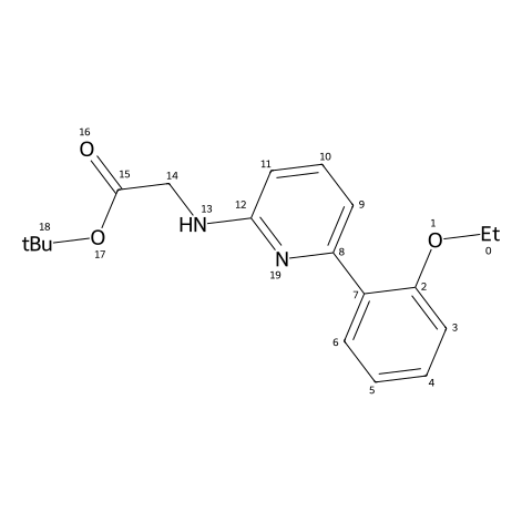 CCOc1ccccc1-c1cccc(NCC(=O)OC(C)(C)C)n1